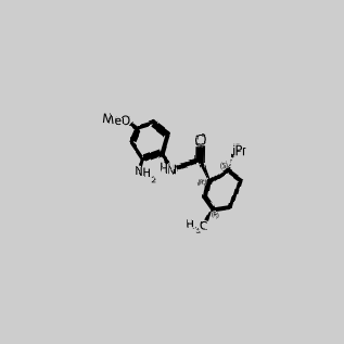 COc1ccc(NC(=O)[C@@H]2C[C@H](C)CC[C@H]2C(C)C)c(N)c1